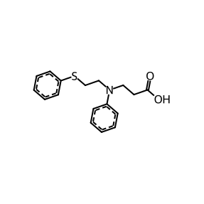 O=C(O)CCN(CCSc1ccccc1)c1ccccc1